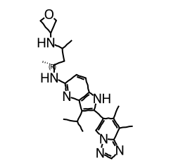 Cc1c(-c2[nH]c3ccc(N[C@H](C)CC(C)NC4COC4)nc3c2C(C)C)cn2ncnc2c1C